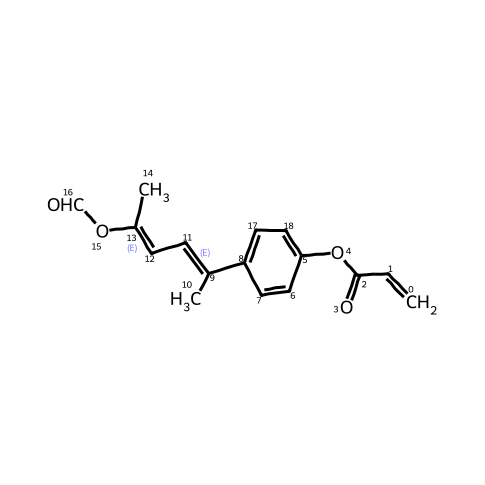 C=CC(=O)Oc1ccc(/C(C)=C/C=C(\C)OC=O)cc1